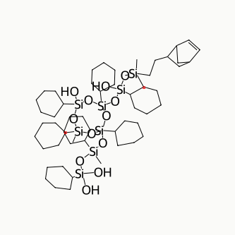 C[Si](C)(CCC1CC2C=CC1C2)O[Si](O)(O[Si]1(C2CCCCC2)O[Si](O)(C2CCCCC2)O[Si](C)(C2CCCCC2)O[Si](O[Si](C)(O[Si](O)(O)C2CCCCC2)C2CCCCC2)(C2CCCCC2)O1)C1CCCCC1